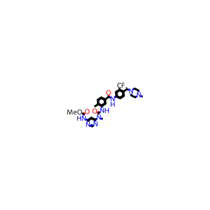 COC(=O)Nc1cc(N(C)C(=O)Nc2cc(C(=O)Nc3ccc(CN4CCN(C)CC4)c(C(F)(F)F)c3)ccc2C)ncn1